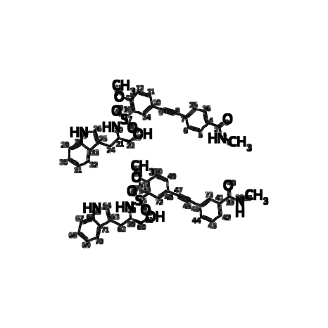 CNC(=O)c1ccc(C#Cc2ccc(OC)c(S(=O)(=O)N[C@@H](CO)Cc3c[nH]c4ccccc34)c2)cc1.CNC(=O)c1cccc(C#Cc2ccc(OC)c(S(=O)(=O)N[C@@H](CO)Cc3c[nH]c4ccccc34)c2)c1